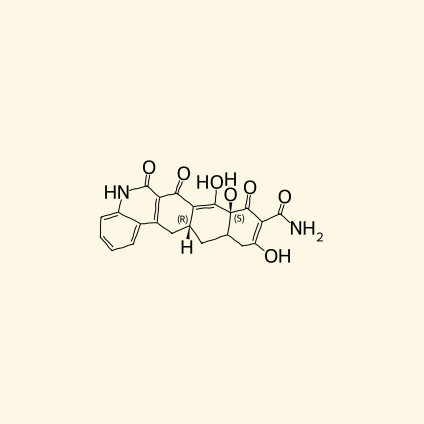 NC(=O)C1=C(O)CC2C[C@@H]3Cc4c(c(=O)[nH]c5ccccc45)C(=O)C3=C(O)[C@]2(O)C1=O